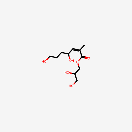 CC(=CC(O)CCCO)C(=O)OCC(O)CO